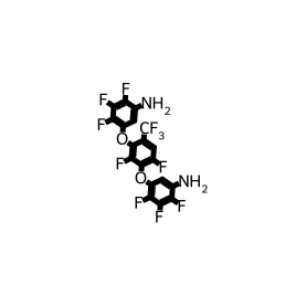 Nc1cc(Oc2c(F)cc(C(F)(F)F)c(Oc3cc(N)c(F)c(F)c3F)c2F)c(F)c(F)c1F